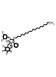 CCCCCCCCCCCCCCCCCCCOC(=O)[C@H](Cc1cc(F)cc(F)c1)N[P@](=O)(Oc1ccccc1)Oc1c(F)c(F)c(F)c(F)c1F